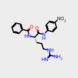 N=C(N)NCCC[C@H](NC(=O)c1ccccc1)C(=O)Nc1ccc([N+](=O)[O-])cc1